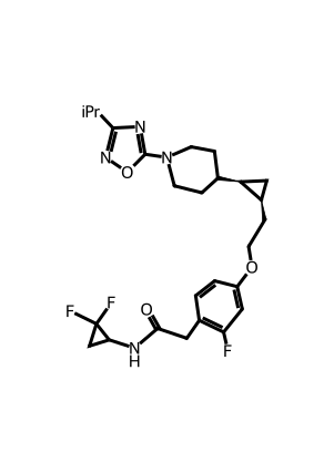 CC(C)c1noc(N2CCC([C@H]3C[C@H]3CCOc3ccc(CC(=O)NC4CC4(F)F)c(F)c3)CC2)n1